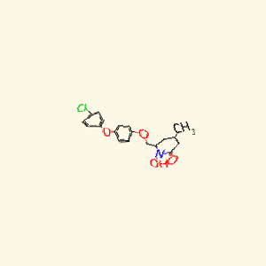 CC1CC(=O)N(O)C(COc2ccc(Oc3ccc(Cl)cc3)cc2)C1